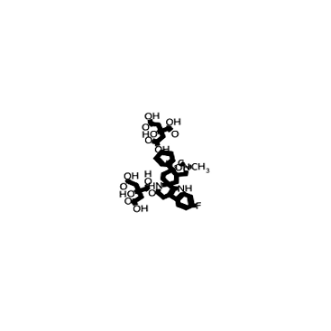 CN(C)CC1CC2(CCC1(O)c1ccccc1)NCCc1c2[nH]c2cc(F)ccc12.O=C(O)CC(O)(CC(=O)O)C(=O)O.O=C(O)CC(O)(CC(=O)O)C(=O)O